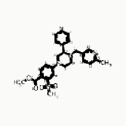 COC(=O)c1ccc(N2CCN(Cc3ccc(C)nc3)C(c3ccccc3)C2)cc1S(C)(=O)=O